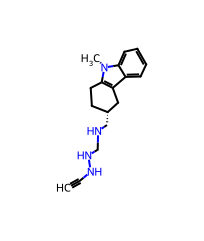 C#CNNCNC[C@@H]1CCc2c(c3ccccc3n2C)C1